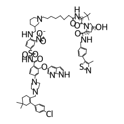 Cc1ncsc1-c1ccc(CNC(=O)[C@@H]2C[C@@H](O)CN2C(=O)[C@@H](NC(=O)CCCCCCCN2CCCC(CNc3ccc(S(=O)(=O)NC(=O)c4ccc(N5CCN(CC6=C(c7ccc(Cl)cc7)CC(C)(C)CC6)CC5)cc4Oc4cnc5[nH]ccc5c4)cc3[N+](=O)[O-])C2)C(C)(C)C)cc1